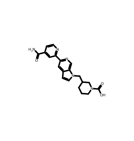 NC(=O)c1ccnc(-c2cc3ccn(CC4CCCN(C(=O)O)C4)c3cn2)c1